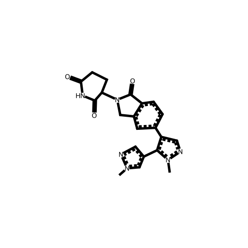 Cn1cc(-c2c(-c3ccc4c(c3)CN(C3CCC(=O)NC3=O)C4=O)cnn2C)cn1